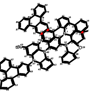 CC(C)(C)c1cc2c3c(c1)N(c1c(-c4ccccc4)cccc1-c1ccccc1)c1cc4c(cc1B3c1ccccc1O2)B1c2ccccc2N(c2ccc3c5ccccc5c5ccccc5c3c2)c2cc(C(C)(C)C)cc(c21)N4c1ccc2c3ccccc3c3ccccc3c2c1